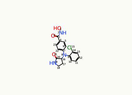 O=C(NO)c1ccc(N(c2ccccc2Cl)C2CCNC2=O)cc1